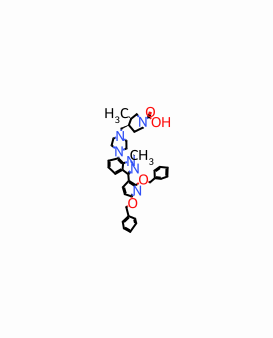 C[C@@H]1CN(C(=O)O)CC[C@H]1CN1CCN(c2cccc3c(-c4ccc(OCc5ccccc5)nc4OCc4ccccc4)nn(C)c23)CC1